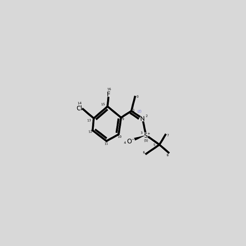 C/C(=N/[S@+]([O-])C(C)(C)C)c1cccc(Cl)c1F